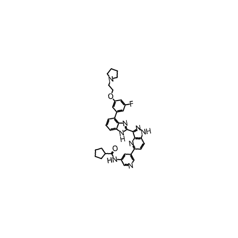 O=C(Nc1cncc(-c2ccc3[nH]nc(-c4nc5c(-c6cc(F)cc(OCCN7CCCC7)c6)cccc5[nH]4)c3n2)c1)C1CCCC1